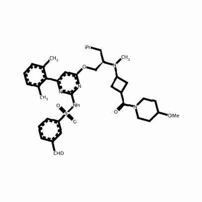 COC1CCN(C(=O)C2CC(N(C)[C@@H](COc3cc(-c4c(C)cccc4C)nc(NS(=O)(=O)c4cccc(C=O)c4)n3)CC(C)C)C2)CC1